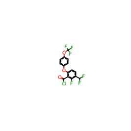 O=C(Cl)c1c(Oc2ccc(OC(F)(F)F)cc2)ccc(C(F)F)c1F